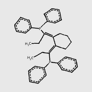 CC/C(=C1/CCCC/C1=C(/CC)P(c1ccccc1)c1ccccc1)P(c1ccccc1)c1ccccc1